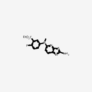 CCOC(=O)c1cc(N(C)c2ccc3nc(N)sc3n2)ccc1F